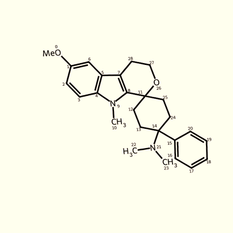 COc1ccc2c(c1)c1c(n2C)C2(CCC(c3ccccc3)(N(C)C)CC2)OCC1